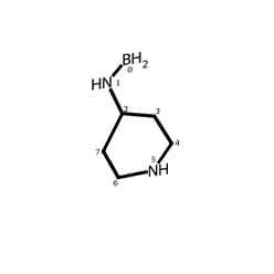 BNC1CCNCC1